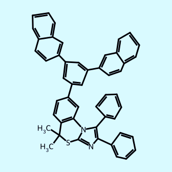 CC1(C)Sc2nc(-c3ccccc3)c(-c3ccccc3)n2-c2cc(-c3cc(-c4ccc5ccccc5c4)cc(-c4ccc5ccccc5c4)c3)ccc21